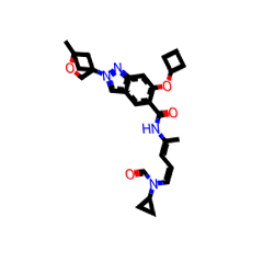 C/C(=C\C=C/N(C=O)C1CC1)NC(=O)c1cc2cn(C34COC(C)(C3)C4)nc2cc1OC1CCC1